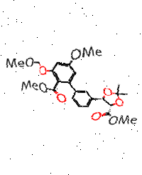 COCOc1cc(OC)cc(-c2cccc([C@H]3OC(C)(C)O[C@@H]3C(=O)OC)c2)c1C(=O)OC